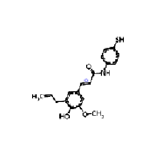 C=CCc1cc(/C=C/C(=O)Nc2ccc(S)cc2)cc(OC)c1O